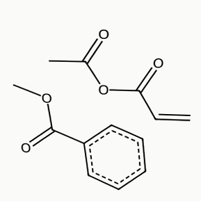 C=CC(=O)OC(C)=O.COC(=O)c1ccccc1